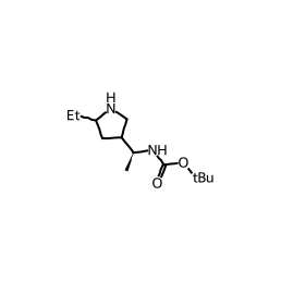 CCC1CC([C@H](C)NC(=O)OC(C)(C)C)CN1